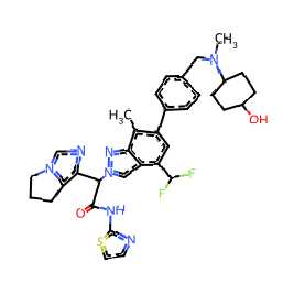 Cc1c(-c2ccc(CN(C)C3CCC(O)CC3)cc2)cc(C(F)F)c2cn(C(C(=O)Nc3nccs3)c3ncn4c3CCC4)nc12